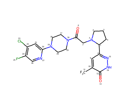 O=C(CN1CCCC1c1cc(C(F)(F)F)c(=O)[nH]n1)N1CCN(c2cc(Cl)c(F)cn2)CC1